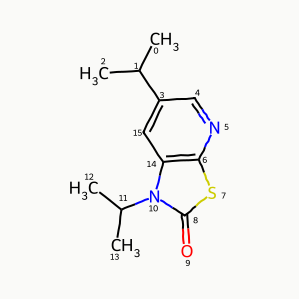 CC(C)c1cnc2sc(=O)n(C(C)C)c2c1